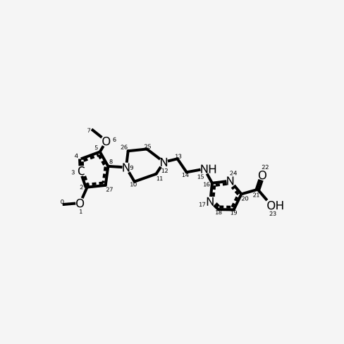 COc1ccc(OC)c(N2CCN(CCNc3nccc(C(=O)O)n3)CC2)c1